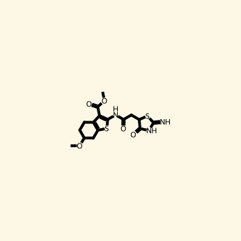 COC(=O)c1c(NC(=O)CC2SC(=N)NC2=O)sc2c1CCC(OC)C2